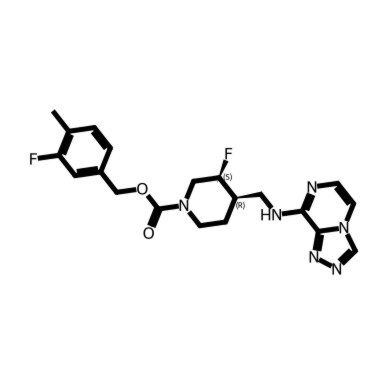 Cc1ccc(COC(=O)N2CC[C@H](CNc3nccn4cnnc34)[C@H](F)C2)cc1F